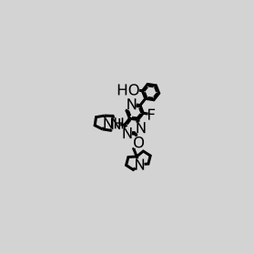 Oc1ccccc1-c1ncc2c(N3CC4CCC(C3)N4)nc(OCC34CCCN3CCC4)nc2c1F